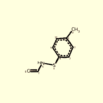 Cc1ccc(SNC=O)cc1